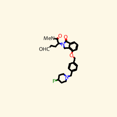 CNC(=O)C(CCC=O)N1Cc2c(OCc3ccc(CN4CCC(F)CC4)cc3)cccc2C1=O